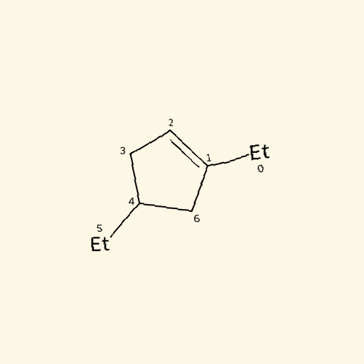 CCC1=CCC(CC)C1